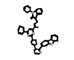 C=C1C(C/C=C(\C)c2cc(-c3ccccc3)nc(C3=CC=C(c4cccnc4-c4ccc5c(c4)oc4ccccc45)CC3)n2)c2ccccc2N1C1C=CC=CC1